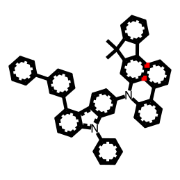 CC1(C)c2ccccc2-c2ccc(N(c3ccc4c5c(-c6cccc(-c7ccccc7)c6)cccc5n(-c5ccccc5)c4c3)c3ccccc3-c3ccccc3)cc21